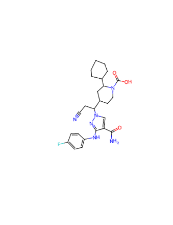 N#CCC(C1CCN(C(=O)O)C(C2CCCCC2)C1)n1cc(C(N)=O)c(Nc2ccc(F)cc2)n1